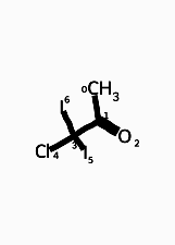 CC(=O)C(Cl)(I)I